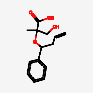 C=CCC(OC(C)(CO)C(=O)O)c1ccccc1